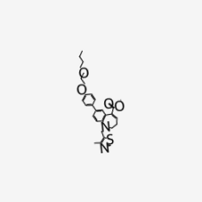 CCCCOCCOc1ccc(-c2ccc3c(c2)C(C(=O)OC)=CCCN3Cc2scnc2C)cc1